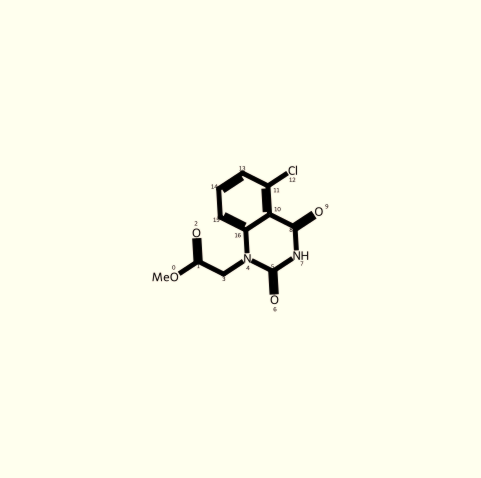 COC(=O)Cn1c(=O)[nH]c(=O)c2c(Cl)cccc21